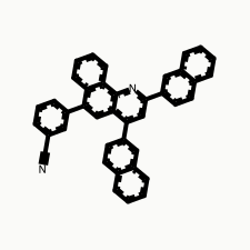 N#Cc1cccc(-c2cc3c(-c4ccc5ccccc5c4)cc(-c4ccc5ccccc5c4)nc3c3ccccc23)c1